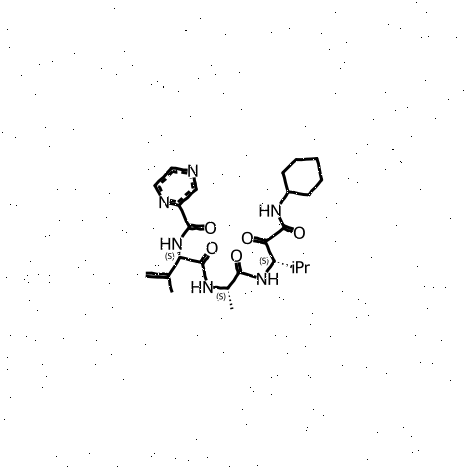 C=C(C)[C@H](NC(=O)c1cnccn1)C(=O)N[C@@H](C)C(=O)N[C@H](C(=O)C(=O)NC1CCCCC1)C(C)C